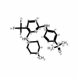 CN1CCN(Nc2nc(Nc3ccc(P(C)(C)=O)cc3)ncc2C(F)(F)F)CC1